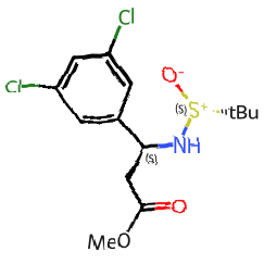 COC(=O)C[C@H](N[S@+]([O-])C(C)(C)C)c1cc(Cl)cc(Cl)c1